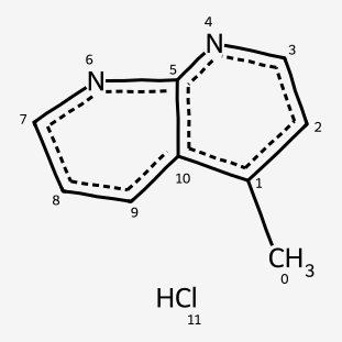 Cc1ccnc2ncccc12.Cl